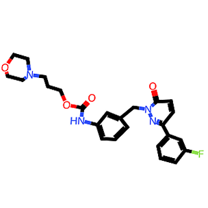 O=C(Nc1cccc(Cn2nc(-c3cccc(F)c3)ccc2=O)c1)OCCCN1CCOCC1